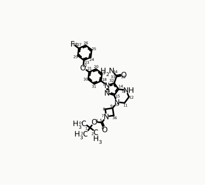 CC(C)(C)OC(=O)N1CC(N2CCNc3c2nn(-c2ccc(Oc4cccc(F)c4)cc2)c3C(N)=O)C1